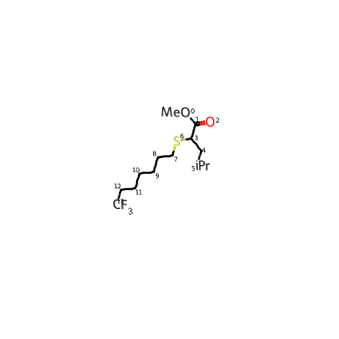 COC(=O)C(CC(C)C)SCCCCCCC(F)(F)F